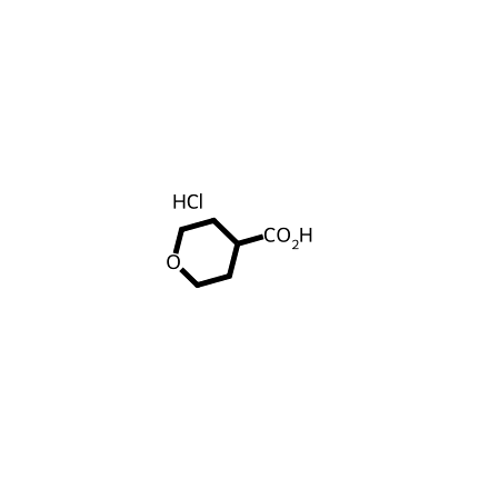 Cl.O=C(O)C1CCOCC1